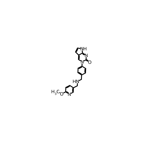 COc1ccc(CNCc2ccc(-n3cc4cc[nH]c4nc3=O)cc2)cn1